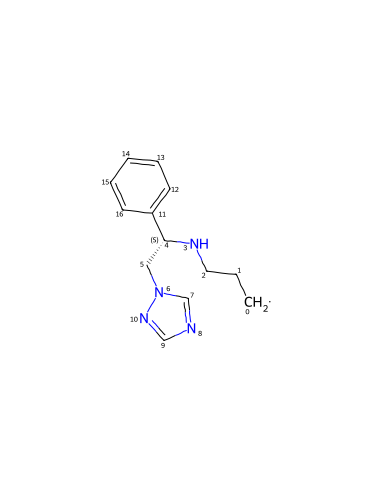 [CH2]CCN[C@H](Cn1cncn1)c1ccccc1